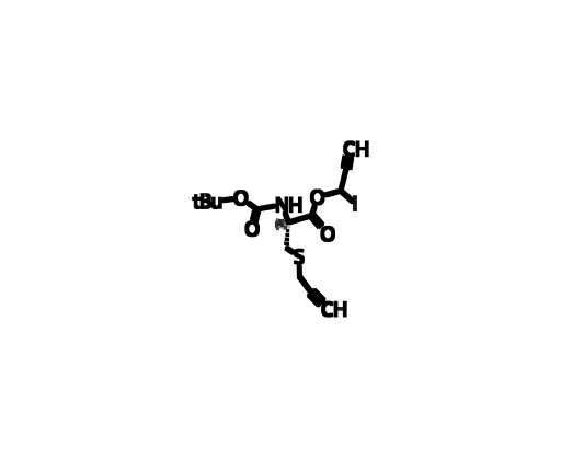 C#CCSC[C@H](NC(=O)OC(C)(C)C)C(=O)OC(I)C#C